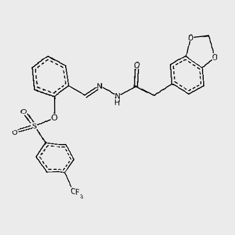 O=C(Cc1ccc2c(c1)OCO2)NN=Cc1ccccc1OS(=O)(=O)c1ccc(C(F)(F)F)cc1